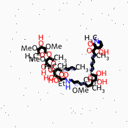 C/C=C/C=C/[C@@H]1O[C@](O)([C@H](CC)C(=O)NC/C=C/C=C(\C)[C@@H](OC)[C@@H](C)[C@@H]2O[C@H](/C=C/C=C/C=C(\C)C(=O)c3c(O)ccn(C)c3=O)[C@H](O)[C@@H]2O)[C@H](O)[C@H](O[C@@H]2O[C@H](C)[C@@H](O[C@@H]3O[C@@H](C)[C@H](OC)[C@@H](O)[C@H]3OC)[C@@H](OC)[C@H]2O)C1(C)C